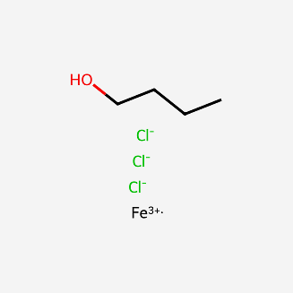 CCCCO.[Cl-].[Cl-].[Cl-].[Fe+3]